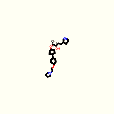 C[C@H](Oc1ccc(-c2ccc(OCCN3CCCC3)cc2)cc1)[C@H](O)CCc1cccnc1